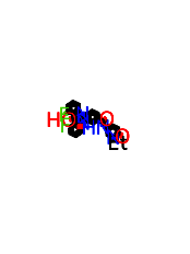 CCN1C[C@H](NC(=O)c2ccc3nc(C(O)(c4ccccc4F)c4ccccc4F)n(C)c3c2)CCC1=O